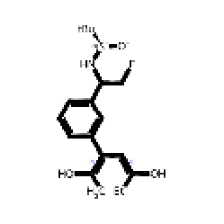 CC/C(O)=C\C(=C(/C)O)c1cccc(C(CF)N[S@+]([O-])C(C)(C)C)c1